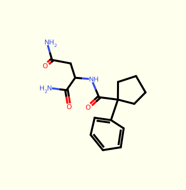 NC(=O)CC(NC(=O)C1(c2ccccc2)CCCC1)C(N)=O